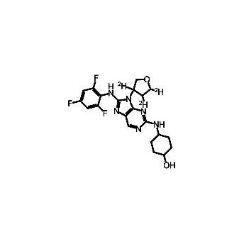 [2H]C1OCC([2H])(n2c(Nc3c(F)cc(F)cc3F)nc3cnc(NC4CCC(O)CC4)nc32)C1[2H]